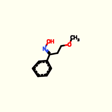 COCCC(=NO)c1ccccc1